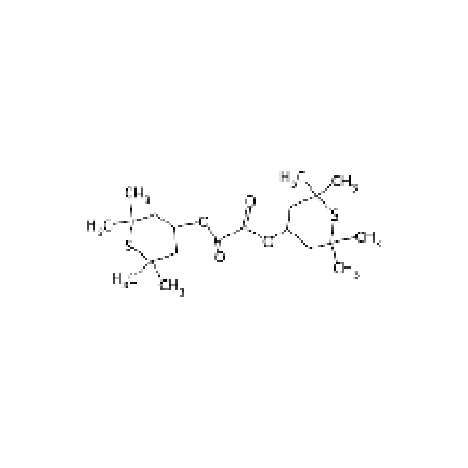 CC1(C)CC(OC(=O)C(=O)OC2CC(C)(C)SC(C)(C)C2)CC(C)(C)S1